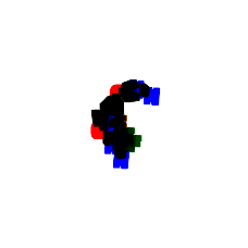 N#CCN1CCC(Oc2ccc(N3C(=S)N(c4cnc(C#N)c(C(F)(F)F)c4)C(=O)C34CCC4)cc2)CC1